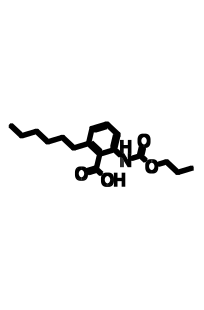 CCCCCCc1cccc(NC(=O)OCCC)c1C(=O)O